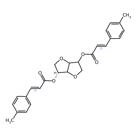 Cc1ccc(/C=C/C(=O)OC2COC3C2OC[C@H]3OC(=O)/C=C/c2ccc(C)cc2)cc1